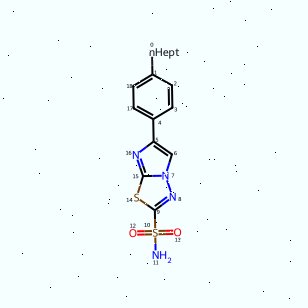 CCCCCCCc1ccc(-c2cn3nc(S(N)(=O)=O)sc3n2)cc1